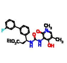 CCOC(=O)C[C@H](NC(=O)Nc1c(O)c(C)cn(C)c1=O)c1cccc(-c2cccc(F)c2)c1